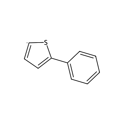 [c]1ccc(-c2ccccc2)s1